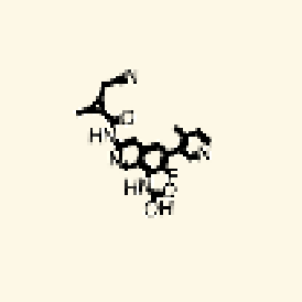 Cc1ccncc1-c1cc2cc(NC(=O)C3C(C)C3CC#N)ncc2c(NC(=O)O)c1F